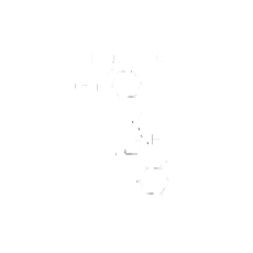 CC(C)(C)c1cc(/C=N/NC(=O)c2ccccc2)cc(C(C)(C)C)c1O